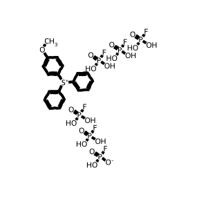 COc1ccc([S+](c2ccccc2)c2ccccc2)cc1.O=P(O)(O)F.O=P(O)(O)F.O=P(O)(O)F.O=P(O)(O)F.O=P(O)(O)F.O=P([O-])(O)F